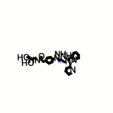 N/C(=C\N(N)c1ccc(CC(=O)NCC(O)CO)cc1)CN(Cc1ccccn1)Cc1ccccn1